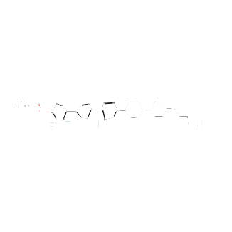 C=CCCC1CCC(C2CCC(c3ccc(-c4ccc(-c5ccc(OCCCCCCCCC)c(F)c5F)cc4)c(F)c3)CC2)CC1